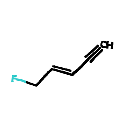 C#C/C=C/CF